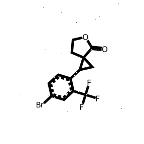 O=C1OCCC12CC2c1ccc(Br)cc1C(F)(F)F